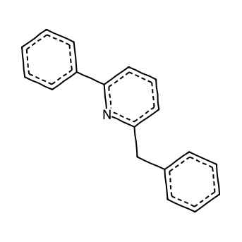 c1ccc(Cc2cccc(-c3ccccc3)n2)cc1